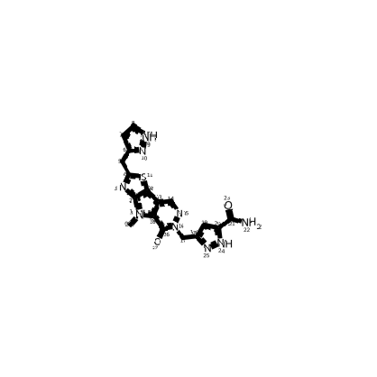 Cn1c2nc(Cc3cc[nH]n3)sc2c2cnn(Cc3cc(C(N)=O)[nH]n3)c(=O)c21